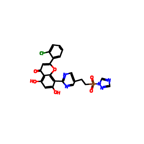 O=c1cc(-c2ccccc2Cl)oc2c(-c3ncc(CCS(=O)(=O)n4cncn4)cn3)c(O)cc(O)c12